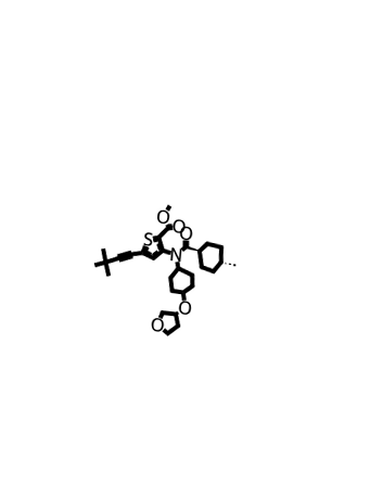 COC(=O)c1sc(C#CC(C)(C)C)cc1N(C(=O)[C@H]1CC[C@H](C)CC1)C1CCC(O[C@H]2CCOC2)CC1